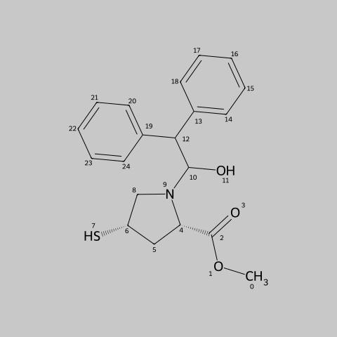 COC(=O)[C@@H]1C[C@H](S)CN1C(O)C(c1ccccc1)c1ccccc1